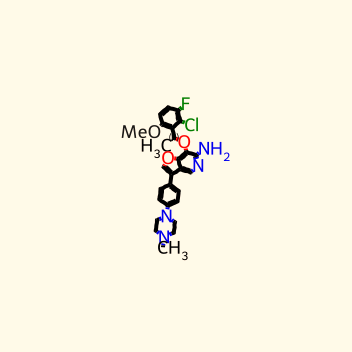 COc1ccc(F)c(Cl)c1[C@@H](C)Oc1c(N)ncc2c(-c3ccc(N4CCN(C)CC4)cc3)coc12